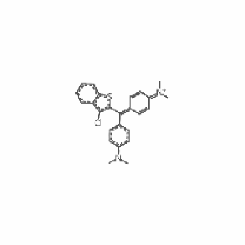 CN(C)c1ccc(C(=C2C=CC(=[N+](C)C)C=C2)c2sc3ccccc3c2Cl)cc1